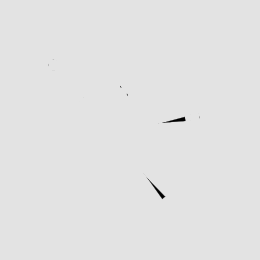 C[C@H]1CCC(=O)N[C@H]1O